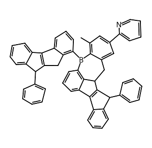 Cc1cc(-c2ccccn2)cc2c1B(c1cccc3c1CC1=C3c3ccccc3C1c1ccccc1)c1cccc3c1C(C2)C1=C3c2ccccc2C1c1ccccc1